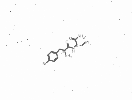 CC(C)C[C@H](NC(=O)[C@@H](N)Cc1ccc(Br)cc1)C(N)=O